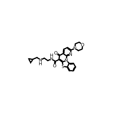 O=C(NCCNCC1CC1)c1c(=O)c2ccc(N3CCOCC3)nc2n2c1sc1ccccc12